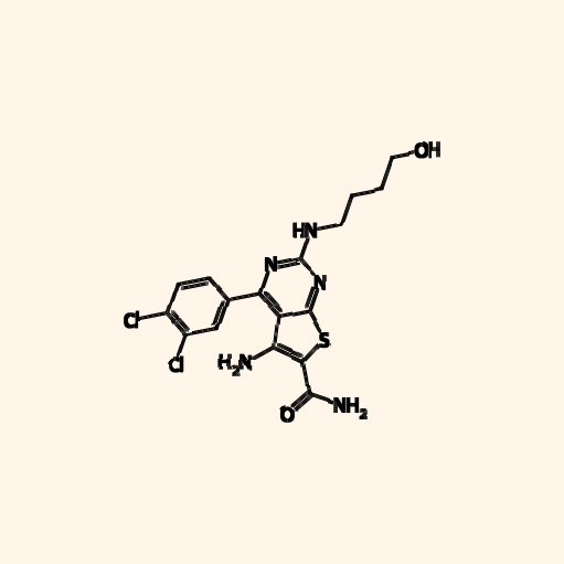 NC(=O)c1sc2nc(NCCCCO)nc(-c3ccc(Cl)c(Cl)c3)c2c1N